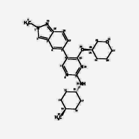 Cn1cc2cc(-c3cnc(N[C@H]4CC[C@H](C)CC4)nc3O[C@@H]3CCCOC3)ccc2n1